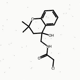 CC1(C)CC(O)(CNC(=O)CCl)c2ccccc2O1